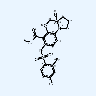 COC(=O)c1c(NS(=O)(=O)c2ccc(F)cc2Br)ccc2c1OC[C@@H]1CCCN21